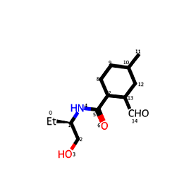 CC[C@H](CO)NC(=O)C1CCC(C)CC1C=O